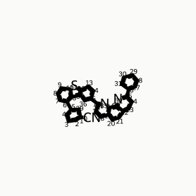 N#Cc1cccc(-c2cccc3sc4ccc(-c5ccc6ccc7ccc(-c8ccccc8)nc7c6n5)cc4c23)c1